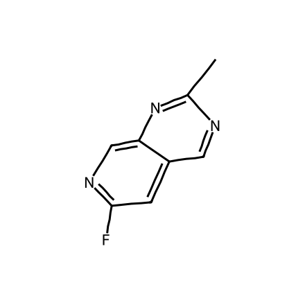 Cc1ncc2cc(F)ncc2n1